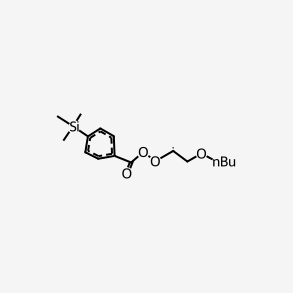 CCCCOC[CH]OOC(=O)c1ccc([Si](C)(C)C)cc1